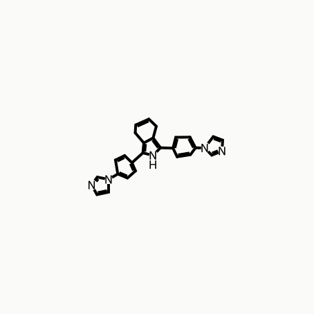 C1=CCc2c(-c3ccc(-n4ccnc4)cc3)[nH]c(-c3ccc(-n4ccnc4)cc3)c2C1